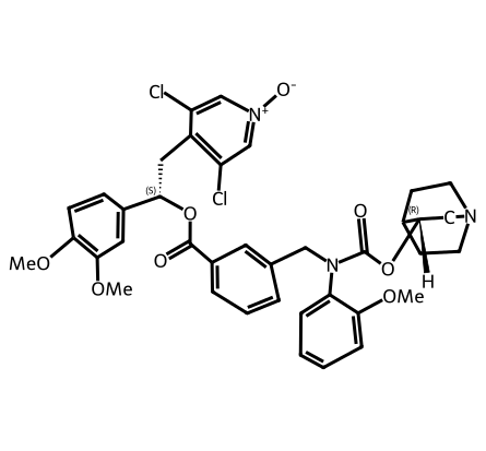 COc1ccc([C@H](Cc2c(Cl)c[n+]([O-])cc2Cl)OC(=O)c2cccc(CN(C(=O)O[C@H]3CN4CCC3CC4)c3ccccc3OC)c2)cc1OC